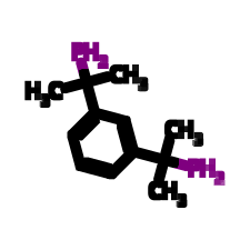 CC(C)(P)c1cccc(C(C)(C)P)c1